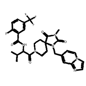 CC(C)C(NC(=O)c1cc(C(F)(F)F)ccc1F)C(=O)N1CCC2(CC1)C(=O)N(C)C(=O)N2Cc1ccn2ccnc2c1